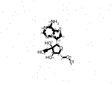 C#C[C@@]1(O)[C@H](O)[C@@H](COCC)O[C@H]1c1cnc2c(N)ncnn12